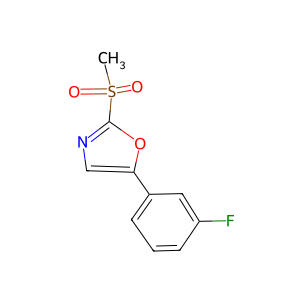 CS(=O)(=O)c1ncc(-c2cccc(F)c2)o1